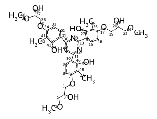 COCC(O)COc1ccc(-c2nc(-c3ccc(OCC(O)COC)c(C)c3O)nc(-c3ccc(OCC(O)OC)c(C)c3O)n2)c(O)c1C